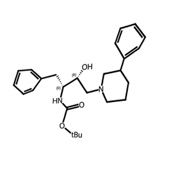 CC(C)(C)OC(=O)N[C@H](Cc1ccccc1)[C@H](O)CN1CCCC(c2ccccc2)C1